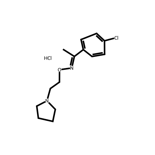 CC(=NOCCN1CCCC1)c1ccc(Cl)cc1.Cl